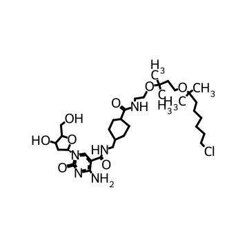 CC(C)(CCCCCCCl)OCCC(C)(C)OCCNC(=O)C1CCC(CNC(=O)c2cn([C@H]3CC(O)C(CO)O3)c(=O)nc2N)CC1